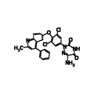 Cc1cc(-c2ccccc2)c2cc(Oc3c(Cl)cc(-n4nc(N)c(=O)[nH]c4=O)cc3Cl)ccc2n1